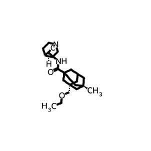 CCOC[C@]12CC3CC(C(=O)N[C@@H]4CN5CCC4CC5)(C[C@](C)(C3)C1)C2